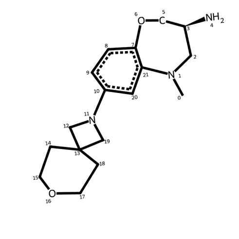 CN1C[C@H](N)COc2ccc(N3CC4(CCOCC4)C3)cc21